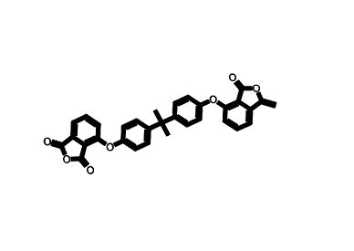 C=C1OC(=O)c2c(Oc3ccc(C(C)(C)c4ccc(Oc5cccc6c5C(=O)OC6=O)cc4)cc3)cccc21